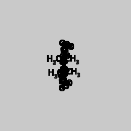 Cc1cc(-c2cc(C)c(OC(=O)C3CCC4C(=O)OC(=O)C4C3)c(C)c2)cc(C)c1OC(=O)C1CCC2C(=O)OC(=O)C2C1